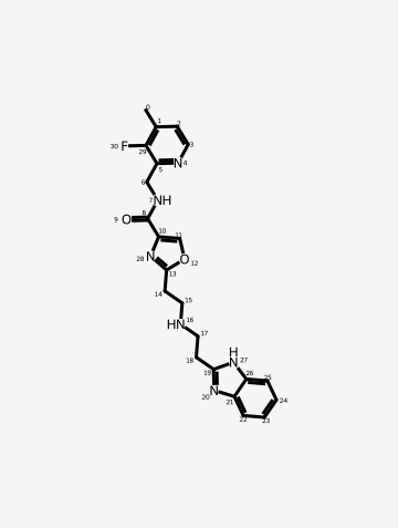 Cc1ccnc(CNC(=O)c2coc(CCNCCc3nc4ccccc4[nH]3)n2)c1F